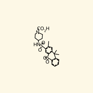 Cc1cc2c(cc1S(=O)(=O)NC1CCN(C(=O)O)CC1)S(=O)(=O)c1ccccc1C2(C)C